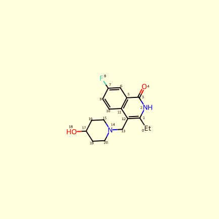 CCc1[nH]c(=O)c2cc(F)ccc2c1CN1CCC(O)CC1